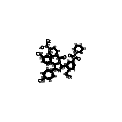 CCOc1ccc(S(=O)(=O)N2CCCCC2)cc1C1=NC(c2ccc(Cl)cc2)C(c2ccc(Cl)cc2)N1C(=O)N1CCN([S+]([O-])CC)CC1